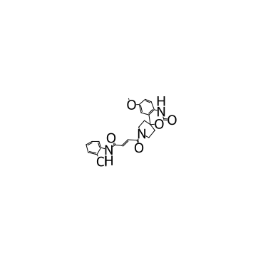 COc1ccc2c(c1)C1(CCN(C(=O)C=CC(=O)Nc3ccccc3Cl)CC1)OC(=O)N2